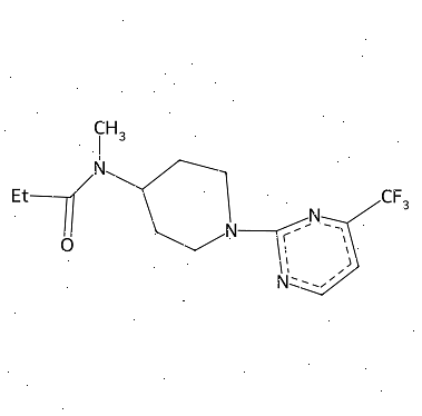 CCC(=O)N(C)C1CCN(c2nccc(C(F)(F)F)n2)CC1